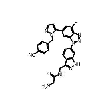 N#Cc1ccc(Cn2nccc2-c2cc(F)c3nnn(-c4ccc5c(CNC(=O)CN)n[nH]c5c4)c3c2)cc1